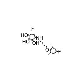 Cc1cc(F)cc(C)c1OCCCCN[C@@H]1C=C(CF)[C@H](O)[C@H](O)[C@H]1O